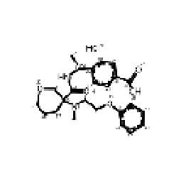 C[C@H](NC(=O)C1(N(C)CCOc2ccccc2)CCCOC1)c1ccc(C(=O)O)cc1.Cl